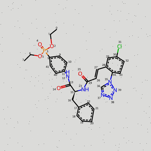 CCOP(=O)(OCC)c1ccc(NC(=O)[C@H](Cc2ccccc2)NC(=O)C=Cc2cc(Cl)ccc2-n2cnnn2)cc1